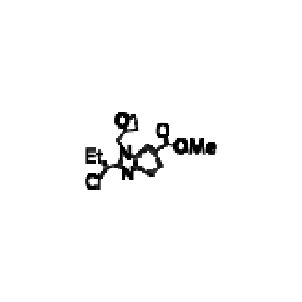 CC[C@H](Cl)c1nc2ccc(C(=O)OC)cc2n1CC1CCO1